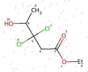 CCOC(=O)CC(Cl)(Cl)C(C)O